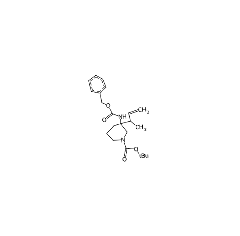 C=CC(C)C1(NC(=O)OCc2ccccc2)CCCN(C(=O)OC(C)(C)C)C1